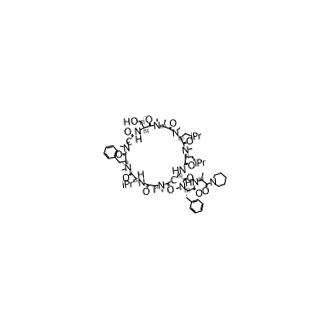 CC(C)C[C@H]1C(=O)N(C)[C@@H](CC(C)C)C(=O)N[C@H](C(=O)N(C)[C@@H](Cc2ccccc2)C(=O)N[C@@H](C)C(=O)N2CCCCC2)CC(=O)N(C)[C@@H](C)C(=O)N[C@@H](C(C)C)C(=O)N(C)[C@@H](Cc2ccccc2)C(=O)N(C)CC(=O)N[C@@H]([C@@H](C)O)C(=O)N(C)[C@@H](C)C(=O)N1C